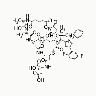 C[C@H](NC(=O)CCCC(=O)ON1C(=O)CCC1=O)C(O)N[C@H](C)C(=O)N[C@@H](CC(N)=O)C(=O)NCCCN(C(=O)CSCCC(=O)N[C@H](CC(=O)O)C(=O)O)[C@@H](c1cc(-c2cc(F)ccc2F)cn1Cc1ccccc1)C(C)(C)C